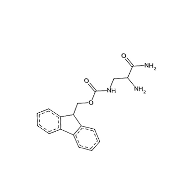 NC(=O)C(N)CNC(=O)OCC1c2ccccc2-c2ccccc21